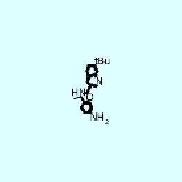 C[C@@H](NC(=O)c1cnc2cc(C(C)(C)C)ccc2c1)c1ccc(N)cc1